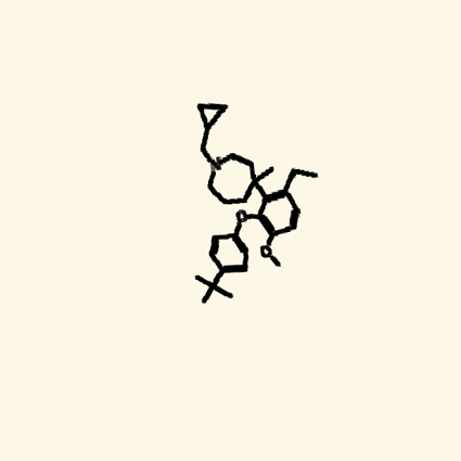 CCc1ccc(OC)c(Oc2ccc(C(C)(C)C)cc2)c1C1(C)CCCN(CC2CC2)CC1